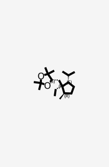 CC[C@@]1(C[C@@H]2OC(C)(C)OC2(C)C)[C@H](C)CC[C@H]1C(C)C